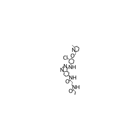 C=CC(=O)NCCC(=O)Nc1ccc2ncnc(Nc3ccc(OCc4cccc(C)n4)c(Cl)c3)c2c1